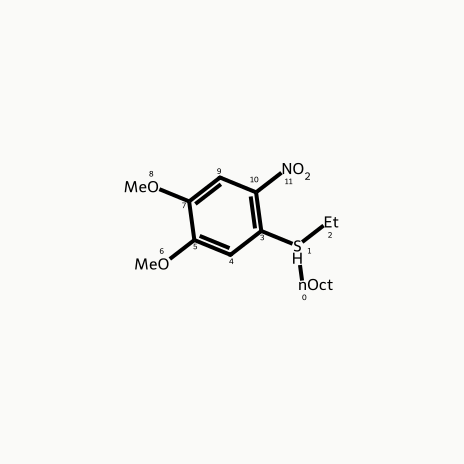 CCCCCCCC[SH](CC)c1cc(OC)c(OC)cc1[N+](=O)[O-]